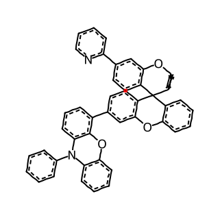 c1ccc(N2c3ccccc3Oc3c(-c4ccc5c(c4)Oc4ccccc4C54c5ccccc5Oc5cc(-c6ccccn6)ccc54)cccc32)cc1